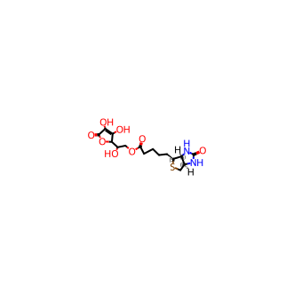 O=C1N[C@H]2[C@H](CS[C@H]2CCCCC(=O)OCC(O)C2OC(=O)C(O)=C2O)N1